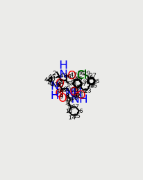 CC1(C)CC(C[C@H](NC(=O)[C@H](CC2CCCCC2)NC(=O)OC(Cc2cccc(Cl)c2)c2cccc(Cl)c2)C(=O)C(=O)NC2CC2)C(=O)N1